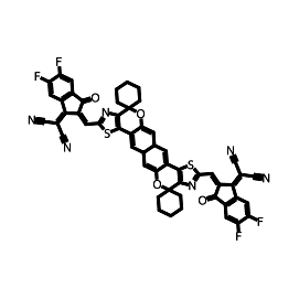 N#CC(C#N)=C1/C(=C/c2nc3c(s2)C2=CC4C=C5OC6(CCCCC6)c6nc(/C=C7\C(=O)c8cc(F)c(F)cc8C7=C(C#N)C#N)sc6C5=CC4C=C2OC32CCCCC2)C(=O)c2cc(F)c(F)cc21